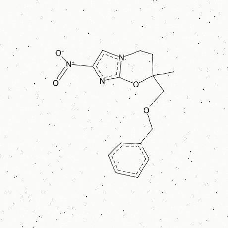 CC1(COCc2ccccc2)CCn2cc([N+](=O)[O-])nc2O1